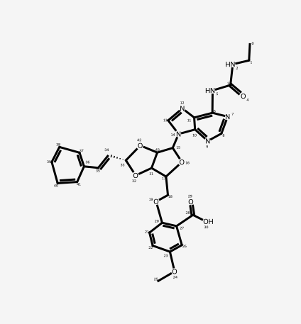 CCNC(=O)Nc1ncnc2c1ncn2C1OC(COc2ccc(OC)cc2C(=O)O)C2O[C@H](/C=C/c3ccccc3)OC21